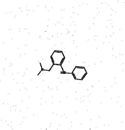 CN(C)Cc1ccccc1Nc1ccccc1